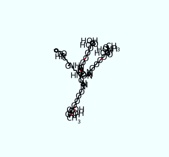 CC(=O)N[C@H]1[C@@H]2OC[C@](COCCOCCOCCOCCn3cc(COCC(COCc4cn(CCOCCOCCOCCOC[C@@]56CO[C@@H](O5)[C@H](NC(C)=O)[C@@H](O)[C@H]6O)nn4)(COCc4cn(CCOCCOCCOCCOC[C@]56CO[C@H](C[C@@H](O)[C@H]5O)O6)nn4)NC(=O)CCCCCNC(=O)CCCCCNC(=O)OCc4ccccc4)nn3)(O2)[C@H](O)[C@@H]1O